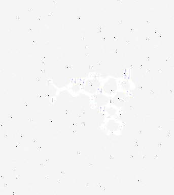 Cn1nc(C(F)F)cc1C(=O)N1CCc2[nH]cnc2[C@H]1c1nc2ccccc2s1